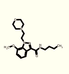 CCCCNC(=O)c1nn(CCN2CCOCC2)c2c(OC)cccc12